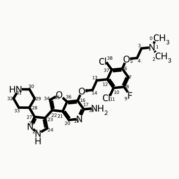 CN(C)CCOc1cc(F)c(Cl)c(CCOc2c(N)ncc3c(-c4c[nH]nc4C4CCNCC4)coc23)c1Cl